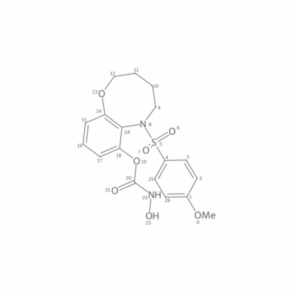 COc1ccc(S(=O)(=O)N2CCCCOc3cccc(OC(=O)NO)c32)cc1